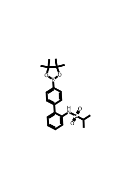 CC(C)S(=O)(=O)Nc1ccccc1-c1ccc(B2OC(C)(C)C(C)(C)O2)cc1